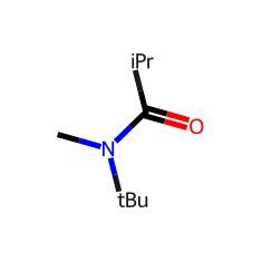 CC(C)C(=O)N(C)C(C)(C)C